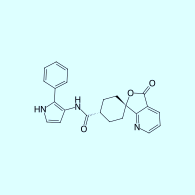 O=C1O[C@]2(CC[C@@H](C(=O)Nc3cc[nH]c3-c3ccccc3)CC2)c2ncccc21